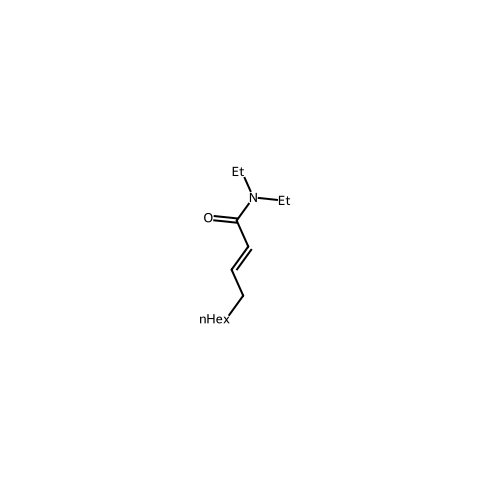 CCCCCCC/C=C/C(=O)N(CC)CC